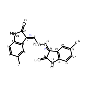 Cc1ccc2c(c1)/C(=C\N/N=C1\C(=O)Nc3ccc(F)cc31)C(=O)N2